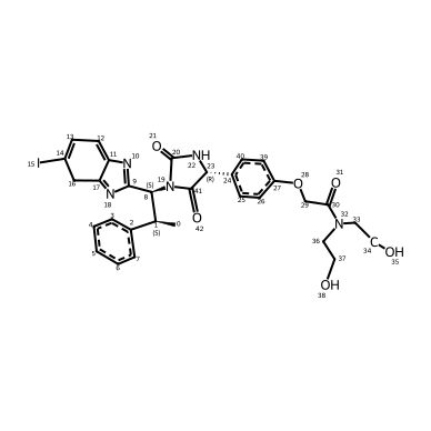 C[C@@H](c1ccccc1)[C@@H](C1=NC2=CC=C(I)CC2=N1)N1C(=O)N[C@H](c2ccc(OCC(=O)N(CCO)CCO)cc2)C1=O